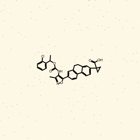 Cc1noc(-c2ccc3c(c2)CCc2cc(C4(C(=O)O)CC4)ccc2-3)c1NC(=O)OC(C)c1ccccc1Cl